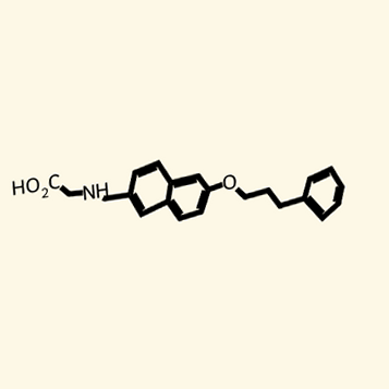 O=C(O)CNCc1ccc2cc(OCCCc3ccccc3)ccc2c1